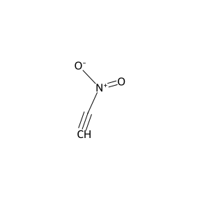 C#C[N+](=O)[O-]